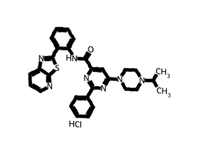 CC(C)N1CCN(c2cc(C(=O)Nc3ccccc3-c3nc4cccnc4s3)nc(-c3ccccc3)n2)CC1.Cl